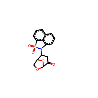 O=C1CC(N2c3cccc4cccc(c34)S2(=O)=O)C2COC1O2